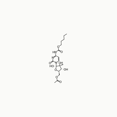 CCCCCOC(=O)Nc1ccn([C@]2(O)O[C@H](COC(C)=O)[C@@H](O)[C@@]2(C)O)c(=O)n1